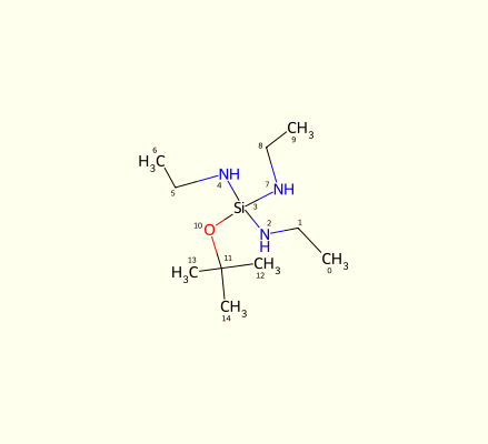 CCN[Si](NCC)(NCC)OC(C)(C)C